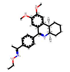 CCON=C(C)c1ccc(C2=N[C@@H]3CCCC[C@@H]3c3cc(OC)c(OC)cc32)cc1